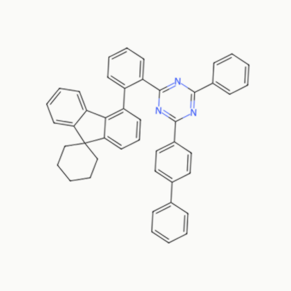 c1ccc(-c2ccc(-c3nc(-c4ccccc4)nc(-c4ccccc4-c4cccc5c4-c4ccccc4C54CCCCC4)n3)cc2)cc1